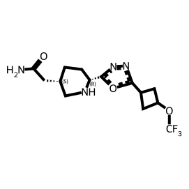 NC(=O)C[C@@H]1CC[C@H](c2nnc(C3CC(OC(F)(F)F)C3)o2)NC1